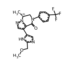 COCc1ncc(-c2cnn3c2C(=O)N(c2ccc(C(F)(F)F)cc2)C[C@@H]3C)[nH]1